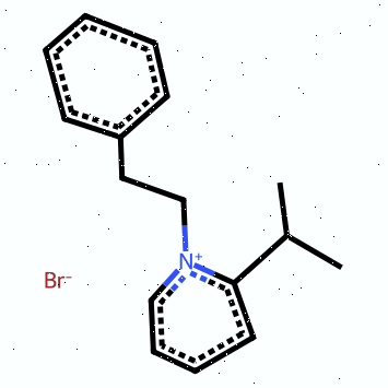 CC(C)c1cccc[n+]1CCc1ccccc1.[Br-]